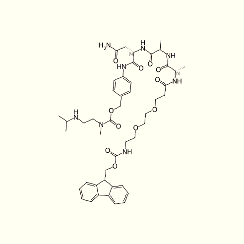 CC(C)NCCN(C)C(=O)OCc1ccc(NC(=O)[C@H](CC(N)=O)NC(=O)C(C)NC(=O)[C@H](C)NC(=O)CCOCCOCCNC(=O)OCC2c3ccccc3-c3ccccc32)cc1